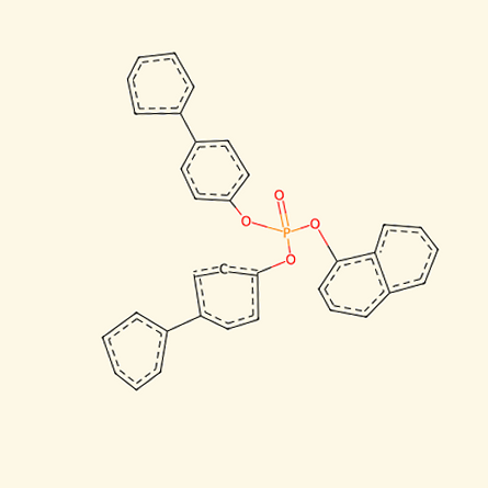 O=P(Oc1ccc(-c2ccccc2)cc1)(Oc1ccc(-c2ccccc2)cc1)Oc1cccc2ccccc12